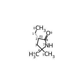 CC[C@H]1CC(C)(C)NC1=O